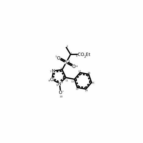 CCOC(=O)C(C)S(=O)(=O)c1no[n+]([O-])c1-c1ccccc1